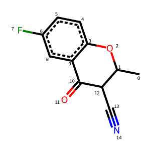 CC1Oc2ccc(F)cc2C(=O)C1C#N